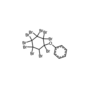 BrC1C(Br)(Br)C(Br)(Br)C(Br)(Br)C(Br)(Br)C1(Br)Oc1ccccc1